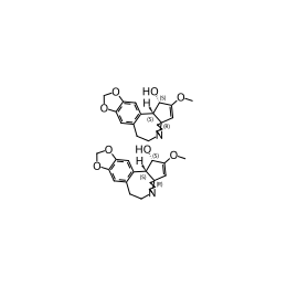 COC1=C[C@]23CCCN2CCc2cc4c(cc2[C@@H]3[C@@H]1O)OCO4.COC1=C[C@]23CCCN2CCc2cc4c(cc2[C@@H]3[C@@H]1O)OCO4